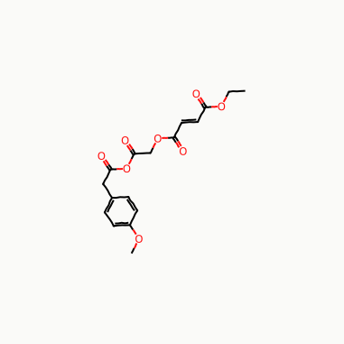 CCOC(=O)/C=C/C(=O)OCC(=O)OC(=O)Cc1ccc(OC)cc1